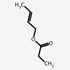 [CH2]CC(=O)OCC=CC